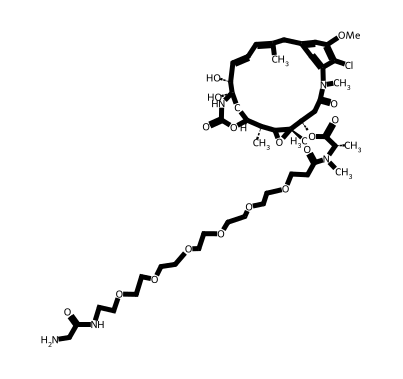 COc1cc2cc(c1Cl)N(C)C(=O)C[C@H](OC(=O)[C@H](C)N(C)C(=O)CCOCCOCCOCCOCCOCCOCCNC(=O)CN)[C@]1(C)OC1[C@H](C)[C@@H]1C[C@@](O)(NC(=O)O1)[C@H](O)/C=C/C=C(\C)C2